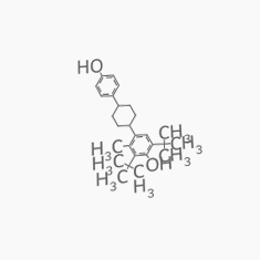 Cc1c(C2CCC(c3ccc(O)cc3)CC2)cc(C(C)(C)C)c(O)c1C(C)(C)C